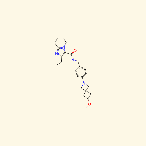 CCc1nc2n(c1C(=O)NCc1ccc(N3CC4(CC(OC)C4)C3)cc1)CCCC2